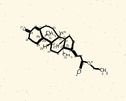 CCOC(=O)CC=C1CC[C@H]2[C@@H]3CCC4=CC(=O)CC[C@]4(C)[C@H]3CC[C@]12C